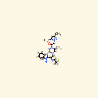 Cc1cc(C)n(CC(=O)N2CCN(c3sc(C(F)(F)F)nc3-c3nc4ccccc4[nH]3)C[C@H]2C)n1